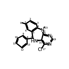 Cc1ccc2c(c1)C(c1ccccc1)Nc1c(Cl)ncnc1N2C